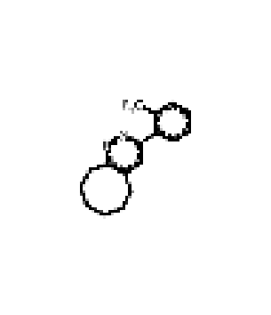 FC(F)(F)c1ccccc1-c1cc2c(nn1)CCCCCC2